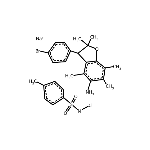 Cc1c(C)c2c(c(C)c1N)C(c1ccc(Br)cc1)C(C)(C)O2.Cc1ccc(S(=O)(=O)[N-]Cl)cc1.[Na+]